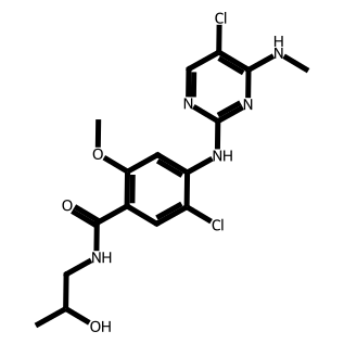 CNc1nc(Nc2cc(OC)c(C(=O)NCC(C)O)cc2Cl)ncc1Cl